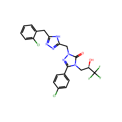 O=c1n(Cc2nnc(Cc3ccccc3Cl)[nH]2)nc(-c2ccc(Cl)cc2)n1C[C@@H](O)C(F)(F)F